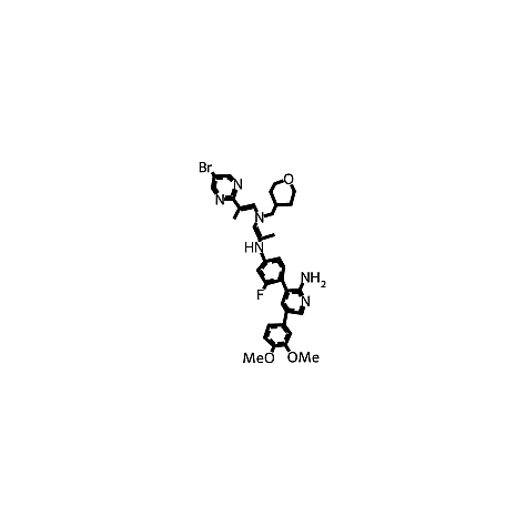 COc1ccc(-c2cnc(N)c(-c3ccc(N/C(C)=C/N(/C=C(\C)c4ncc(Br)cn4)CC4CCOCC4)cc3F)c2)cc1OC